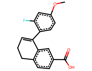 COc1ccc(C2=CCCc3ccc(C(=O)O)cc32)c(F)c1